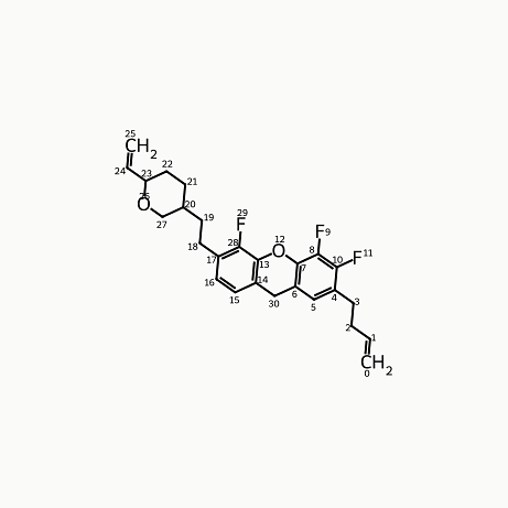 C=CCCc1cc2c(c(F)c1F)Oc1c(ccc(CCC3CCC(C=C)OC3)c1F)C2